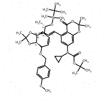 COc1ccc(COC(/C=C\[C@@H](C)[C@H](C)O[Si](C)(C)C(C)(C)C)[C@H]2OC(C)(C)O[C@H]2C/C=C/c2cc(N(C(=O)OC(C)(C)C)C3CC3)cc3c2C(=O)OC(C)(C)O3)cc1